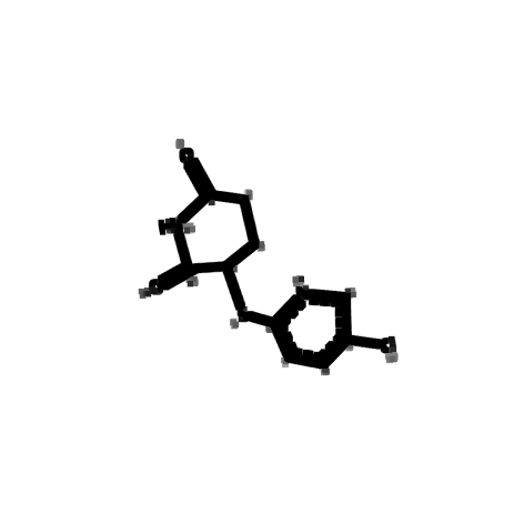 O=C1CCC(Sc2ccc(Cl)cn2)C(=O)N1